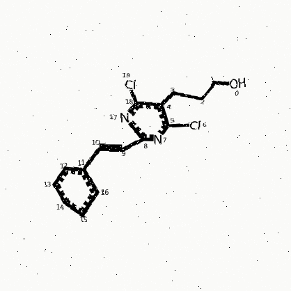 OCCCc1c(Cl)nc(/C=C/c2ccccc2)nc1Cl